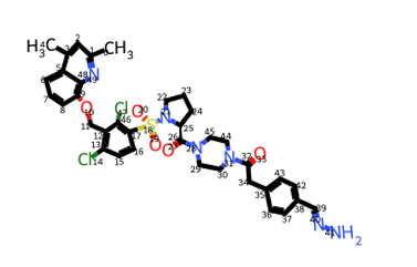 Cc1cc(C)c2cccc(OCc3c(Cl)ccc(S(=O)(=O)N4CCC[C@H]4C(=O)N4CCN(C(=O)Cc5ccc(C=NN)cc5)CC4)c3Cl)c2n1